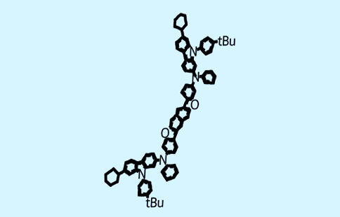 CC(C)(C)c1ccc(-n2c3cc(C4CCCCC4)ccc3c3ccc(N(c4ccccc4)c4ccc5c(c4)oc4cc6cc7c(cc6cc45)oc4cc(N(c5ccccc5)c5ccc6c8ccc(C9CCCCC9)cc8n(-c8ccc(C(C)(C)C)cc8)c6c5)ccc47)cc32)cc1